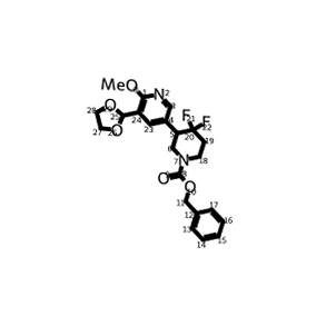 COc1ncc(C2CN(C(=O)OCc3ccccc3)CCC2(F)F)cc1C1OCCO1